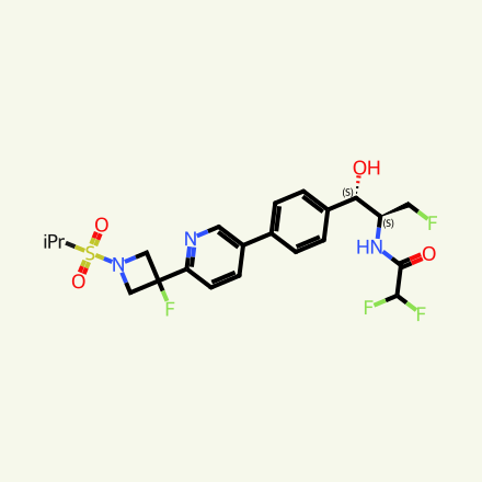 CC(C)S(=O)(=O)N1CC(F)(c2ccc(-c3ccc([C@H](O)[C@@H](CF)NC(=O)C(F)F)cc3)cn2)C1